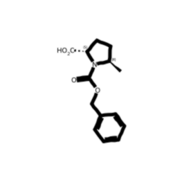 C[C@@H]1CC[C@@H](C(=O)O)N1C(=O)OCc1ccccc1